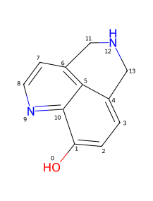 Oc1ccc2c3c(ccnc13)CNC2